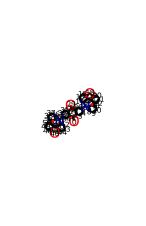 O=C1c2ccc(N(c3ccccc3)c3cccc4oc5ccccc5c34)cc2C(=O)c2ccc(N(c3ccccc3)c3cccc4oc5ccccc5c34)cc21